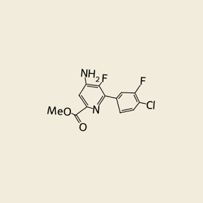 COC(=O)c1cc(N)c(F)c(-c2ccc(Cl)c(F)c2)n1